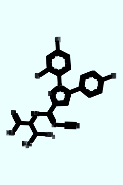 CC(C)C(NC(=NC#N)c1cc(-c2ccc(Cl)cc2)n(-c2ccc(Cl)cc2Cl)n1)C(=O)O